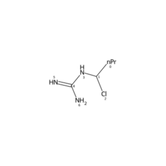 CCCC(Cl)NC(=N)N